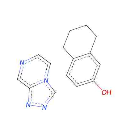 Oc1ccc2c(c1)CCCC2.c1cn2cnnc2cn1